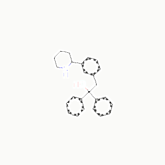 OC(Cc1cccc(C2CCCCN2)c1)(c1ccccc1)c1ccccc1